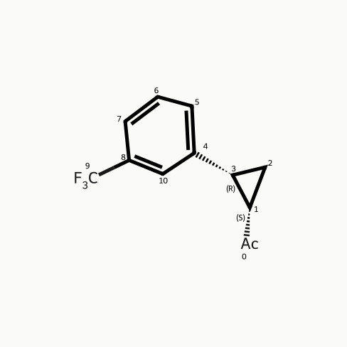 CC(=O)[C@H]1C[C@H]1c1cccc(C(F)(F)F)c1